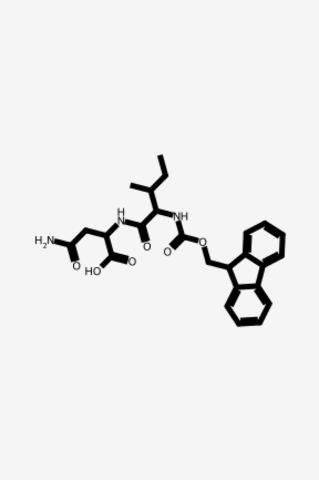 CCC(C)C(NC(=O)OCC1c2ccccc2-c2ccccc21)C(=O)NC(CC(N)=O)C(=O)O